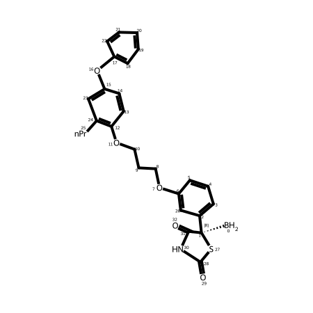 B[C@]1(c2cccc(OCCCOc3ccc(Oc4ccccc4)cc3CCC)c2)SC(=O)NC1=O